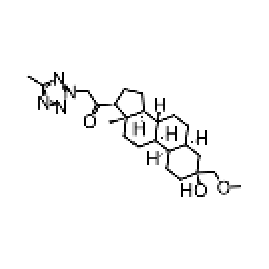 COC[C@]1(O)CC[C@@H]2[C@@H](CC[C@@H]3[C@@H]2CC[C@]2(C)[C@@H](C(=O)Cn4nnc(C)n4)CC[C@@H]32)C1